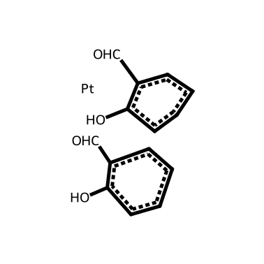 O=Cc1ccccc1O.O=Cc1ccccc1O.[Pt]